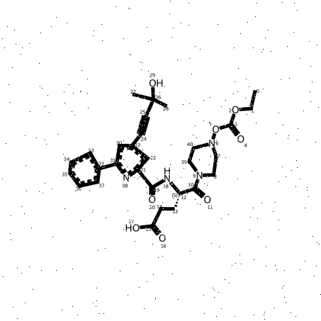 CCOC(=O)ON1CCN(C(=O)[C@H](CCC(=O)O)NC(=O)c2cc(C#CC(C)(C)O)cc(-c3ccccc3)n2)CC1